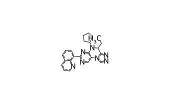 CCC1c2nncn2-c2cnc(-c3cccc4cccnc34)nc2N1C1CCCC1